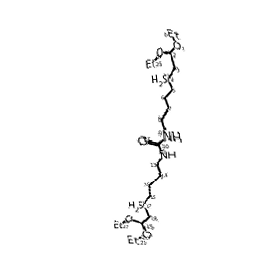 CCOC(C[SiH2]CCCCNC(=O)NCCCC[SiH2]CC(OCC)OCC)OCC